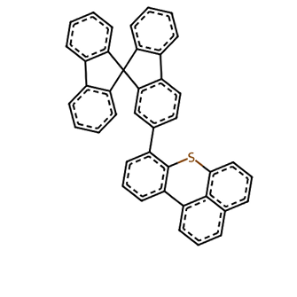 c1ccc2c(c1)-c1ccccc1C21c2ccccc2-c2ccc(-c3cccc4c3Sc3cccc5cccc-4c35)cc21